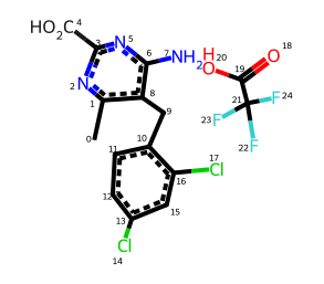 Cc1nc(C(=O)O)nc(N)c1Cc1ccc(Cl)cc1Cl.O=C(O)C(F)(F)F